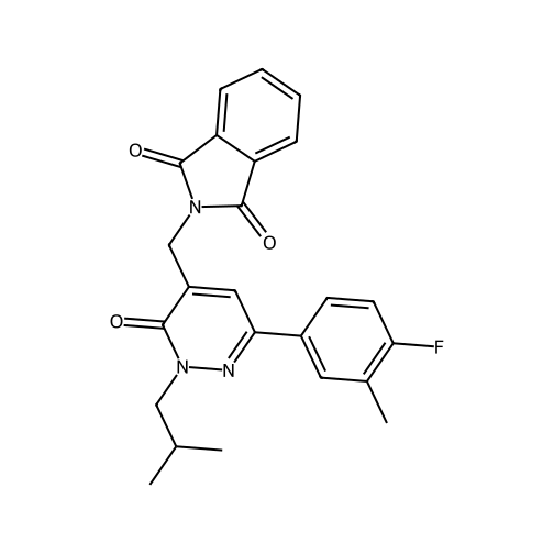 Cc1cc(-c2cc(CN3C(=O)c4ccccc4C3=O)c(=O)n(CC(C)C)n2)ccc1F